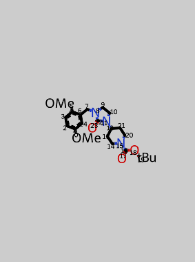 COc1ccc(OC)c(CN2CCN(C3CCN(C(=O)OC(C)(C)C)CC3)C2=O)c1